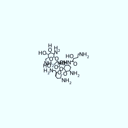 NCC[C@H](O)C(=O)N[C@@H]1C[C@H](N)[C@@H](O[C@H]2OC(CN)=CC[C@H]2N)[C@H](O[C@@H]2O[C@H](CO)[C@@H](O[C@H]3O[C@@H](CN)[C@@H](O)[C@H](O)[C@H]3N)[C@H]2O)[C@H]1O